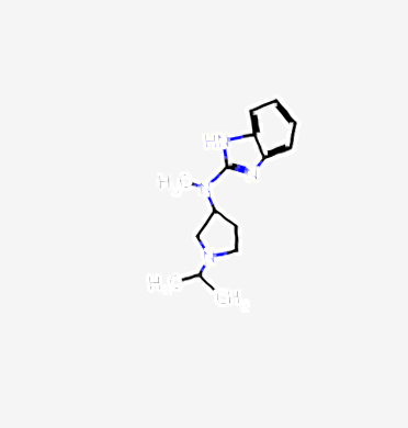 CC(C)N1CCC(N(C)c2nc3ccccc3[nH]2)C1